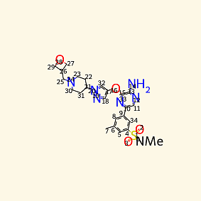 CNS(=O)(=O)c1cc(C)cc(-c2cnc(N)c(Oc3cnn(C4CCN(CC5COC5)CC4)c3)n2)c1